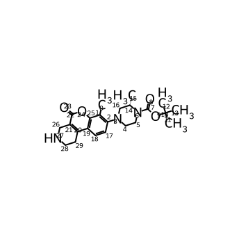 Cc1c(N2CCN(C(=O)OC(C)(C)C)[C@@H](C)C2)ccc2c3c(c(=O)oc12)CNCC3